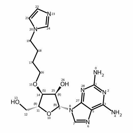 Nc1nc(N)c2ncn([C@@H]3O[C@H](CO)[C@@H](OCCCCn4ccnc4)[C@H]3O)c2n1